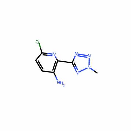 Cn1nnc(-c2nc(Cl)ccc2N)n1